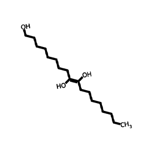 CCCCCCCCC(O)=C(O)CCCCCCCCO